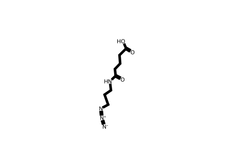 [N-]=[N+]=NCCCNC(=O)CCCC(=O)O